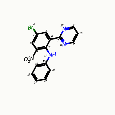 O=[N+]([O-])c1cc(Br)cc(-c2ncccn2)c1Nc1ccccc1